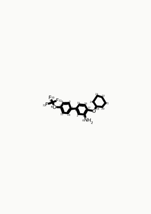 Nc1cc(-c2ccc(OC(F)(F)F)cc2)ccc1OC1CCCCC1